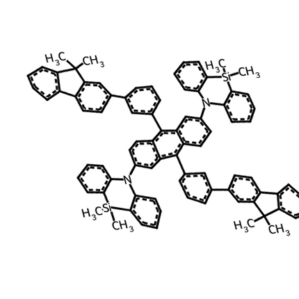 CC1(C)c2ccccc2-c2ccc(-c3cccc(-c4c5ccc(N6c7ccccc7[Si](C)(C)c7ccccc76)cc5c(-c5cccc(-c6ccc7c(c6)C(C)(C)c6ccccc6-7)c5)c5ccc(N6c7ccccc7[Si](C)(C)c7ccccc76)cc45)c3)cc21